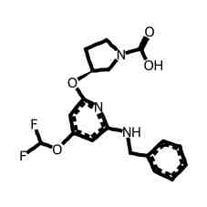 O=C(O)N1CC[C@H](Oc2cc(OC(F)F)cc(NCc3ccccc3)n2)C1